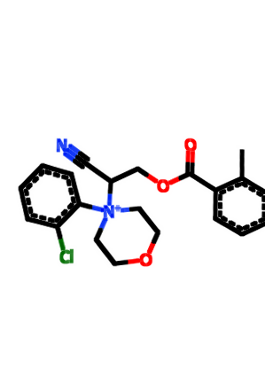 Cc1ccccc1C(=O)OCC(C#N)[N+]1(c2ccccc2Cl)CCOCC1